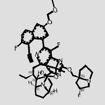 C#Cc1c(F)ccc2cc(OCOC)cc(-c3nc4c5c(nc(OC[C@@]67CCCN6C[C@H](F)C7)nc5c3F)N3C[C@H]5CC[C@@H]([C@@H]3[C@@H](CC)C4)N5C(=O)OC(C)(C)C)c12